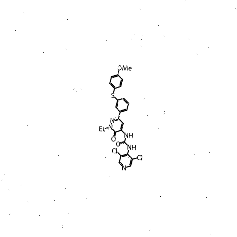 CCn1nc(-c2cccc(Sc3ccc(OC)cc3)c2)cc(NC(=O)Nc2c(Cl)cncc2Cl)c1=O